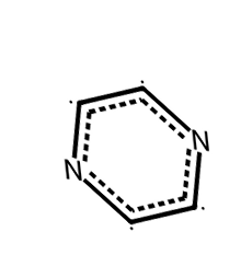 [c]1[c]n[c][c]n1